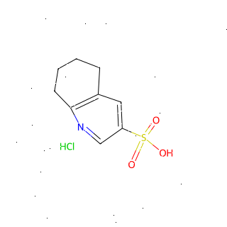 Cl.O=S(=O)(O)c1cnc2c(c1)CCCC2